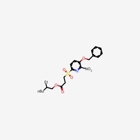 CCCCC(CC)COC(=O)CCS(=O)(=O)c1ccc(OCc2ccccc2)c([N+](=O)[O-])n1